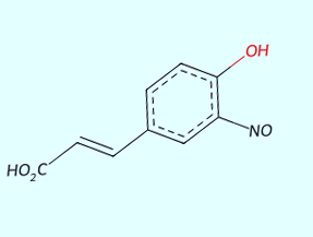 O=Nc1cc(/C=C/C(=O)O)ccc1O